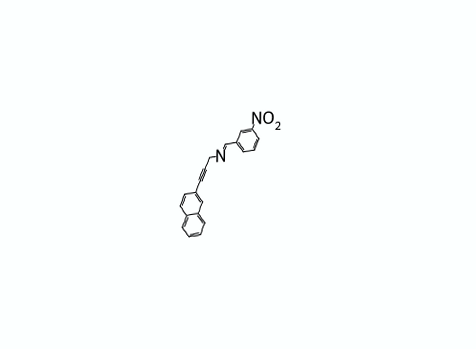 O=[N+]([O-])c1cccc(C=NCC#Cc2ccc3ccccc3c2)c1